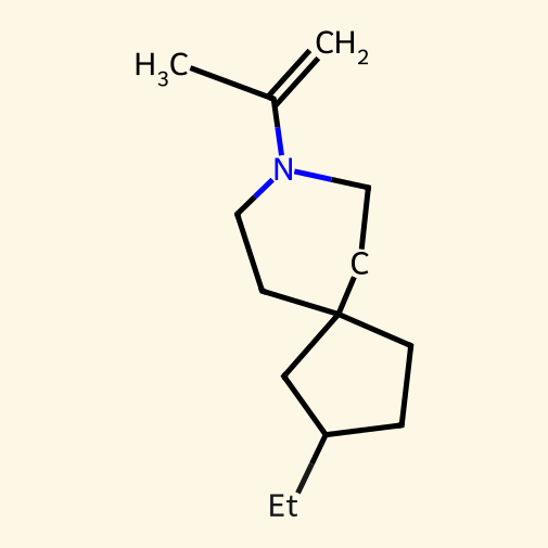 C=C(C)N1CCC2(CCC(CC)C2)CC1